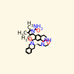 Cc1c(C)c(-c2cc3c(cc2C(=O)N2Cc4ccccc4C[C@H]2CCN2CCOCC2)CNCC3)n(C(N)=O)c1C